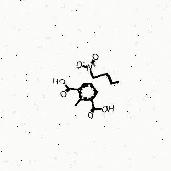 CCCC[N+](=O)[O-].Cc1c(C(=O)O)cccc1C(=O)O